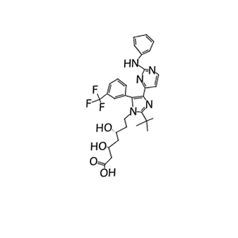 CC(C)(C)c1nc(-c2ccnc(Nc3ccccc3)n2)c(-c2cccc(C(F)(F)F)c2)n1CC[C@@H](O)C[C@@H](O)CC(=O)O